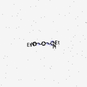 C=C/C=C(\C=C/NCC)/C=C/c1ccc(/C=C/c2cc[n+](CC)cc2)cc1